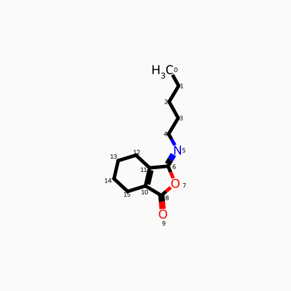 CCCCC/N=C1/OC(=O)C2=C1CCCC2